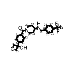 O=C(c1ccc(C2(O)COC2)cc1)N1CCC(NCc2ccc(C(F)(F)F)cc2)CC1